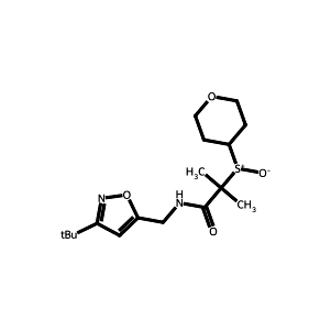 CC(C)(C)c1cc(CNC(=O)C(C)(C)[S+]([O-])C2CCOCC2)on1